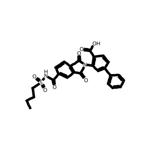 CCCCS(=O)(=O)NC(=O)c1ccc2c(c1)C(=O)N(c1cc(-c3ccccc3)ccc1C(=O)O)C2=O